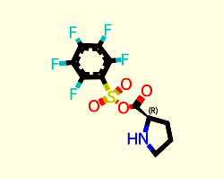 O=C(OS(=O)(=O)c1c(F)c(F)c(F)c(F)c1F)[C@H]1CCCN1